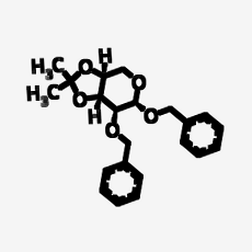 CC1(C)O[C@H]2[C@H](OCc3ccccc3)[C@H](OCc3ccccc3)OC[C@H]2O1